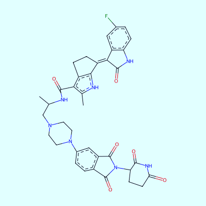 Cc1[nH]c2c(c1C(=O)NC(C)CN1CCN(c3ccc4c(c3)C(=O)N(C3CCC(=O)NC3=O)C4=O)CC1)CC/C2=C1/C(=O)Nc2ccc(F)cc21